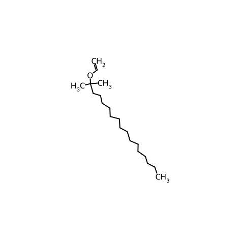 C=COC(C)(C)CCCCCCCCCCCCCCC